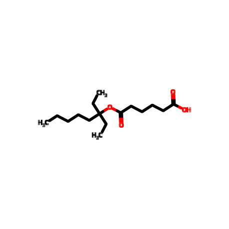 CCCCCC(CC)(CC)OC(=O)CCCCC(=O)O